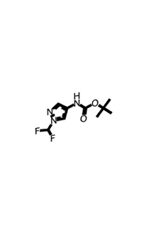 CC(C)(C)OC(=O)Nc1cnn(C(F)F)c1